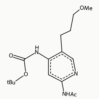 COCCCc1cnc(NC(C)=O)cc1NC(=O)OC(C)(C)C